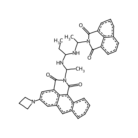 CCC(NC(C)N1C(=O)c2cccc3cccc(c23)C1=O)NC(C)N1C(=O)c2cc(N3CCC3)cc3cc4ccccc4c(c23)C1=O